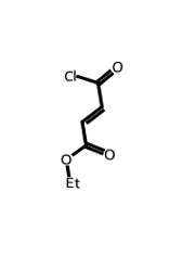 CCOC(=O)C=CC(=O)Cl